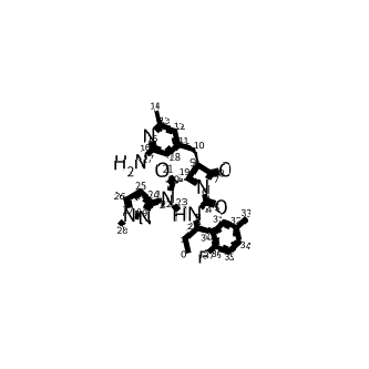 CCC(NC(=O)N1C(=O)[C@H](Cc2cc(C)nc(N)c2)[C@H]1C(=O)N(C)c1ccn(C)n1)c1cc(C)ccc1F